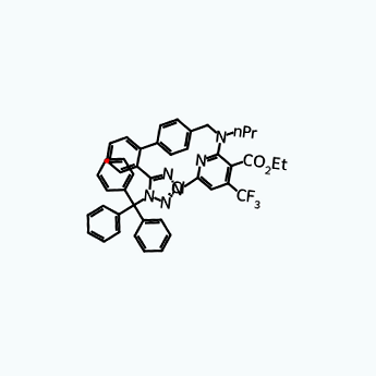 CCCN(Cc1ccc(-c2ccccc2-c2nnnn2C(c2ccccc2)(c2ccccc2)c2ccccc2)cc1)c1nc(Cl)cc(C(F)(F)F)c1C(=O)OCC